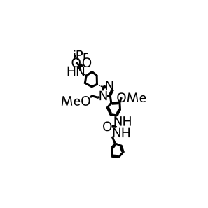 COCCn1c(-c2ccc(NC(=O)NCc3ccccc3)cc2OC)cnc1[C@H]1CC[C@H](NC(=O)OC(C)C)CC1